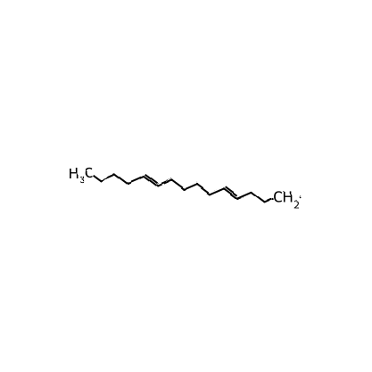 [CH2]CCC=CCCCCC=CCCCC